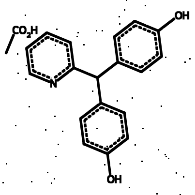 CC(=O)O.Oc1ccc(C(c2ccc(O)cc2)c2ccccn2)cc1